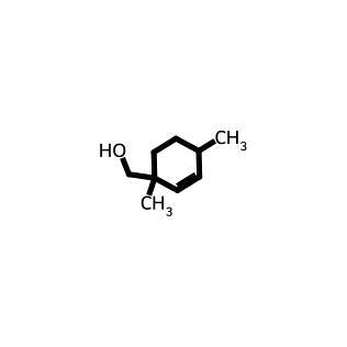 CC1C=CC(C)(CO)CC1